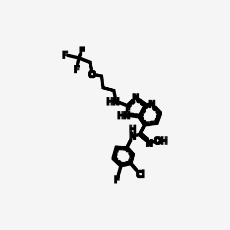 O/N=C(/Nc1ccc(F)c(Cl)c1)c1ccnc2nc(NCCCOCC(F)(F)F)[nH]c12